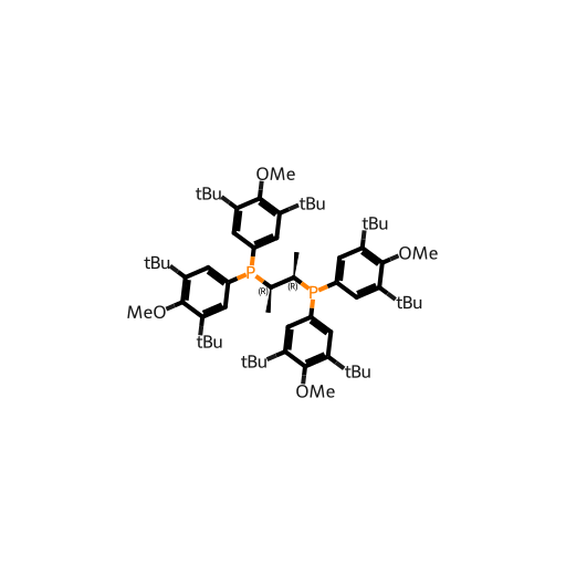 COc1c(C(C)(C)C)cc(P(c2cc(C(C)(C)C)c(OC)c(C(C)(C)C)c2)[C@H](C)[C@@H](C)P(c2cc(C(C)(C)C)c(OC)c(C(C)(C)C)c2)c2cc(C(C)(C)C)c(OC)c(C(C)(C)C)c2)cc1C(C)(C)C